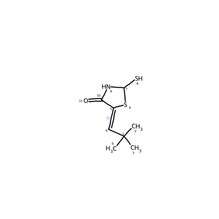 CC(C)(C)/C=C1\SC(S)NC1=O